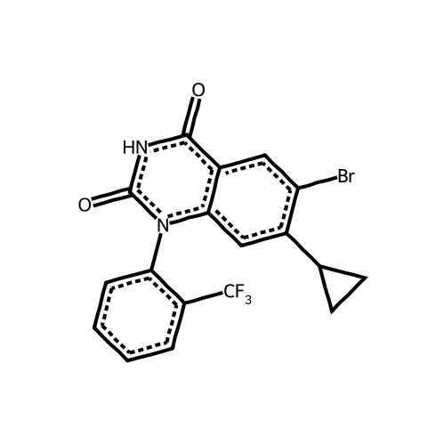 O=c1[nH]c(=O)n(-c2ccccc2C(F)(F)F)c2cc(C3CC3)c(Br)cc12